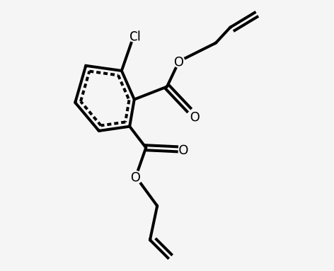 C=CCOC(=O)c1cccc(Cl)c1C(=O)OCC=C